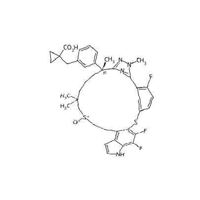 Cn1nc2nc1-c1cc(ccc1F)Sc1c(F)c(F)c3[nH]ccc3c1CC[S+]([O-])CC(C)(C)CCC[C@]2(C)c1cccc(CC2(C(=O)O)CC2)c1